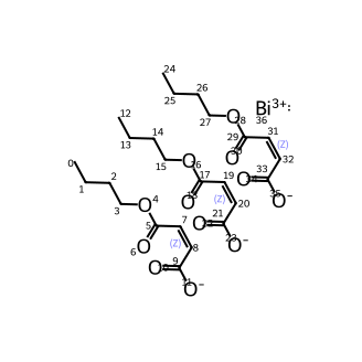 CCCCOC(=O)/C=C\C(=O)[O-].CCCCOC(=O)/C=C\C(=O)[O-].CCCCOC(=O)/C=C\C(=O)[O-].[Bi+3]